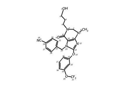 CN1CN(CCCO)C(=O)c2c1nc(Oc1cccc(OC(F)(F)F)c1)n2Cc1ccc(C#N)cc1